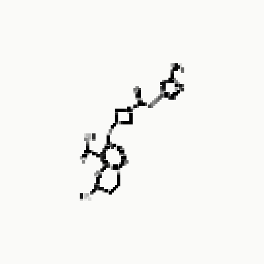 Nc1nc(CC(=O)N2CC(Oc3ccc4c(c3C(=O)O)OB(O)CC4)C2)cs1